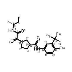 CC[C@@H](C)NC(=O)C(=O)N1CC[C@H](C(=O)Nc2ccc(F)c(C(F)(F)F)c2)C1